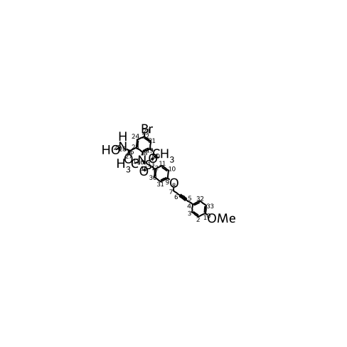 COc1ccc(C#CCOc2ccc(S(=O)(=O)N(C)c3c(C)cc(Br)cc3C(=O)NO)cc2)cc1